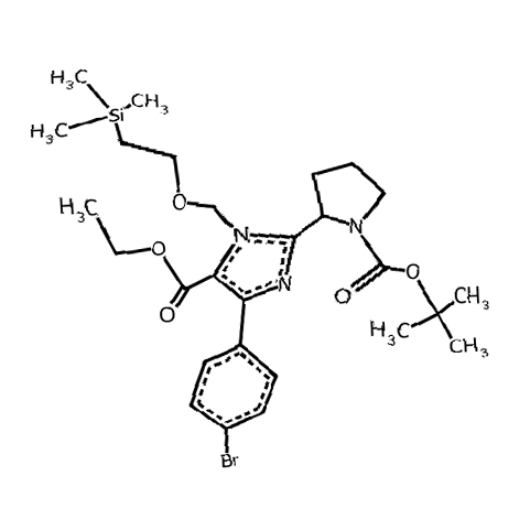 CCOC(=O)c1c(-c2ccc(Br)cc2)nc(C2CCCN2C(=O)OC(C)(C)C)n1COCC[Si](C)(C)C